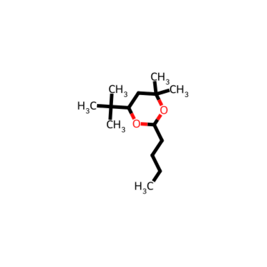 CCCCC1OC(C(C)(C)C)CC(C)(C)O1